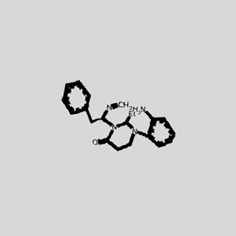 C=N[C@H](Cc1ccccc1)N1C(=O)CCN(c2ccccc2N)C1CC